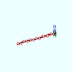 COCCOCCOCCOCCOCCOCCOCCOCCOCCOCCOCCOC1(C(F)(F)F)CCNCC1